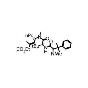 CCC[C@@H](C=C(C)C(=O)OCC)N(C)C(=O)[C@@H](NC(=O)[C@@H](NC)C(C)(C)c1ccccc1)C(C)(C)C